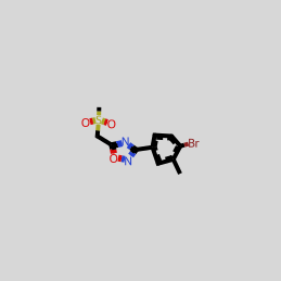 Cc1cc(-c2noc(CS(C)(=O)=O)n2)ccc1Br